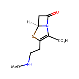 CONCCC1=C(C(=O)O)N2C(=O)C[C@@H]2S1